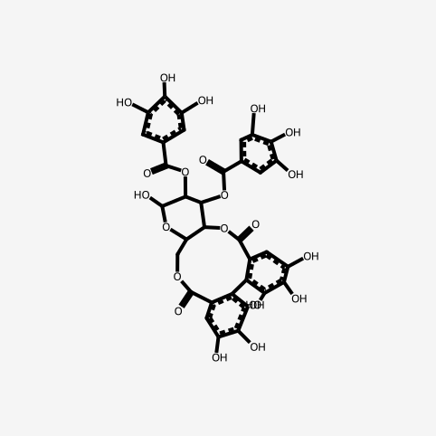 O=C(OC1C(O)OC2COC(=O)c3cc(O)c(O)c(O)c3-c3c(cc(O)c(O)c3O)C(=O)OC2C1OC(=O)c1cc(O)c(O)c(O)c1)c1cc(O)c(O)c(O)c1